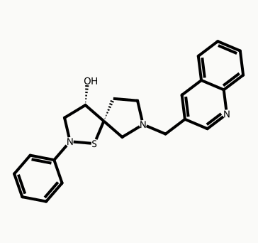 O[C@H]1CN(c2ccccc2)S[C@@]12CCN(Cc1cnc3ccccc3c1)C2